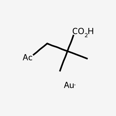 CC(=O)CC(C)(C)C(=O)O.[Au]